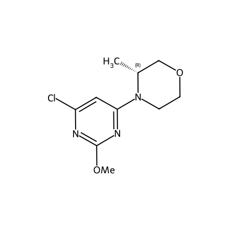 COc1nc(Cl)cc(N2CCOC[C@H]2C)n1